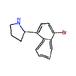 Brc1ccc(C2CCCN2)c2ccccc12